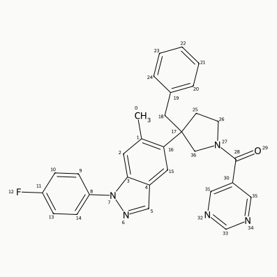 Cc1cc2c(cnn2-c2ccc(F)cc2)cc1C1(Cc2ccccc2)CCN(C(=O)c2cncnc2)C1